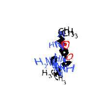 CC(C)C1C=Nc2c(Nc3cccc(NC(=O)c4ccc(NC(=O)/C=C/CN(C)C)cc4)c3)nc(N3CCCC(N)C3)nc21